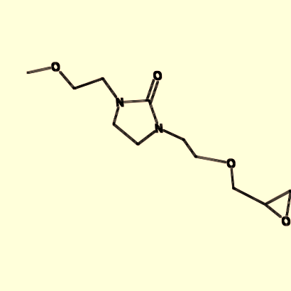 COCCN1CCN(CCOCC2CO2)C1=O